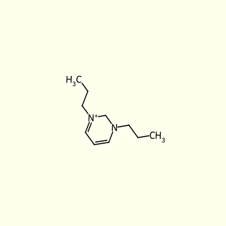 CCCN1C=CC=[N+](CCC)C1